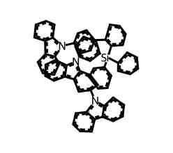 c1ccc([Si](c2ccccc2)(c2ccccc2)c2ccccc2-c2ccc(-n3c4ccccc4c4ccccc43)c(-n3c4ccccc4c4cc(-n5c6ccccc6c6ccccc65)ccc43)c2)cc1